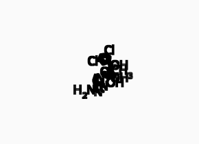 C[C@@]1(O)[C@@H]([C@@H](O)c2cc(Cl)cc(Cl)c2)O[C@@H](n2ccc3c(N)ncnc32)[C@@H]1O